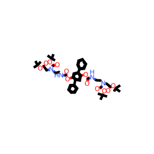 CC(C)(C)OC(=O)CN(CCNC(=O)Oc1cc(-c2ccccc2)c(OC(=O)NCCN(CC(=O)OC(C)(C)C)C(=O)OC(C)(C)C)cc1-c1ccccc1)C(=O)OC(C)(C)C